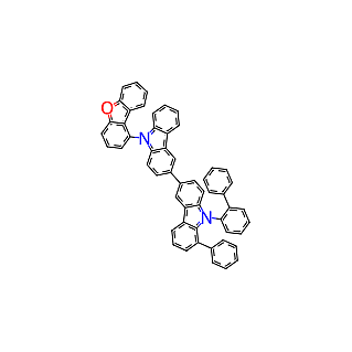 c1ccc(-c2ccccc2-n2c3ccc(-c4ccc5c(c4)c4ccccc4n5-c4cccc5oc6ccccc6c45)cc3c3cccc(-c4ccccc4)c32)cc1